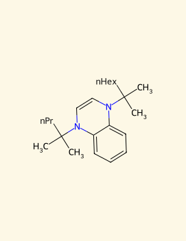 CCCCCCC(C)(C)N1C=CN(C(C)(C)CCC)c2ccccc21